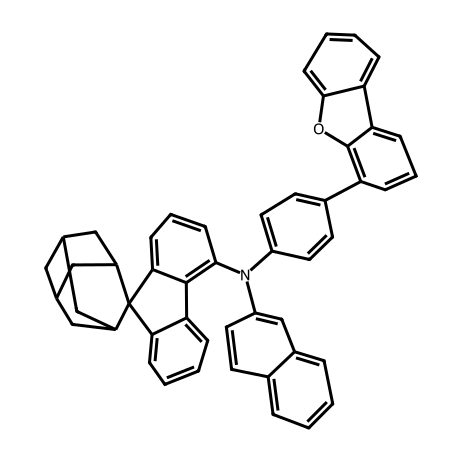 c1ccc2c(c1)-c1c(N(c3ccc(-c4cccc5c4oc4ccccc45)cc3)c3ccc4ccccc4c3)cccc1C21C2CC3CC(C2)CC1C3